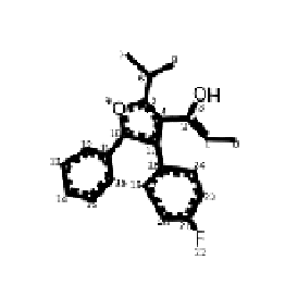 CC=C(O)c1c(C(C)C)oc(-c2ccccc2)c1-c1ccc(F)cc1